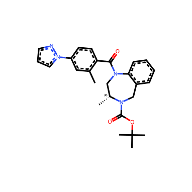 Cc1cc(-n2cccn2)ccc1C(=O)N1C[C@@H](C)N(C(=O)OC(C)(C)C)Cc2ccccc21